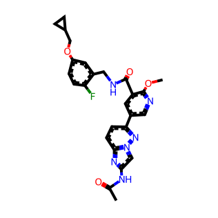 COc1ncc(-c2ccc3nc(NC(C)=O)cn3n2)cc1C(=O)NCc1cc(OCC2CC2)ccc1F